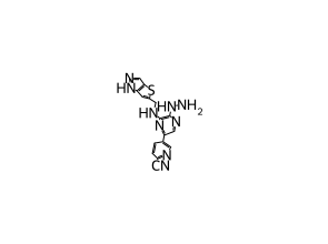 N#Cc1ccc(-c2cnc(NN)c(NCc3cc4[nH]ncc4s3)n2)cn1